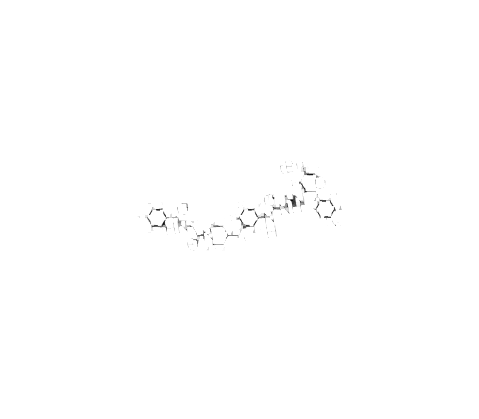 Cc1ccc(C2OC=C(C(C)(C)C)C=C2N=NNC(=O)Nc2cccc(CC3CCN(C(=O)CNC(=O)c4ccccc4)CC3)c2)cc1